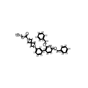 CC(C)(C)OC(=O)N1CC2(C1)CN(c1cccc(-c3ccc(OCc4ccccc4)nc3OCc3ccccc3)c1)C2